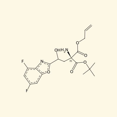 C=CCOC(=O)[C@@](N)(CC(O)c1nc2c(F)cc(F)cc2o1)C(=O)OC(C)(C)C